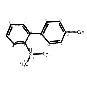 C[SiH](C)c1ccccc1-c1ccc(Cl)cc1